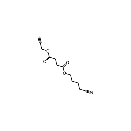 C#CCOC(=O)CCC(=O)OCCCCC#N